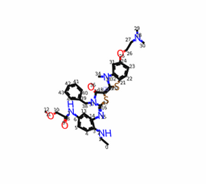 CCNc1ccc(NC(=O)COC)cc1N=C1S/C(=C2\Sc3ccc(OCCN(C)C)cc3N2C)C(=O)N1Cc1ccccc1